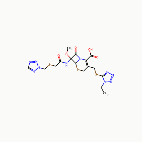 CCn1nnnc1SCC1=C(C(=O)O)N2C(=O)C(NC(=O)CSCn3ncnn3)(OC)C2SC1